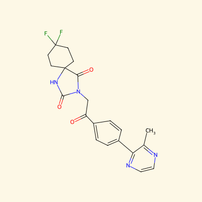 Cc1nccnc1-c1ccc(C(=O)CN2C(=O)NC3(CCC(F)(F)CC3)C2=O)cc1